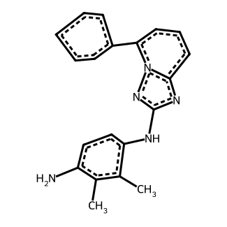 Cc1c(N)ccc(Nc2nc3cccc(-c4ccccc4)n3n2)c1C